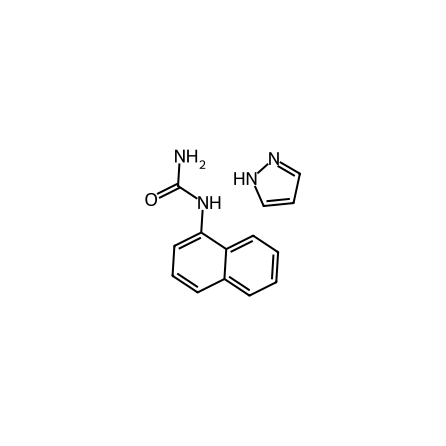 NC(=O)Nc1cccc2ccccc12.c1cn[nH]c1